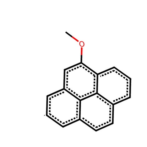 COc1cc2c[c]cc3ccc4cccc1c4c32